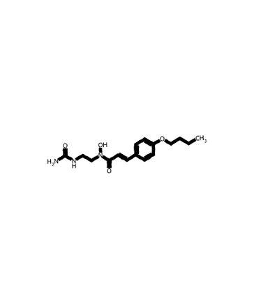 CCCCOc1ccc(C=CC(=O)N(O)CCNC(N)=O)cc1